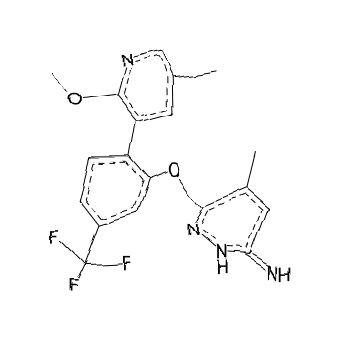 COc1ncc(C)cc1-c1ccc(C(F)(F)F)cc1Oc1n[nH]c(=N)cc1C